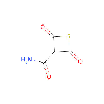 NC(=O)C1C(=O)SC1=O